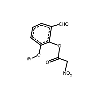 CC(C)Oc1cccc(C=O)c1OC(=O)C[N+](=O)[O-]